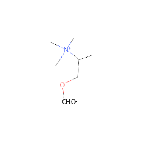 CC(CO[C]=O)[N+](C)(C)C